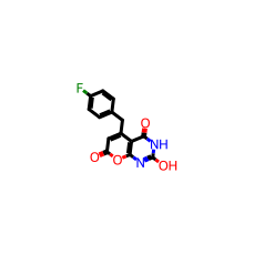 O=c1cc(Cc2ccc(F)cc2)c2c(=O)[nH]c(O)nc2o1